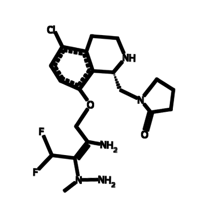 CN(N)/C(=C(\N)COc1ccc(Cl)c2c1[C@@H](CN1CCCC1=O)NCC2)C(F)F